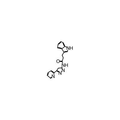 O=C(CCc1c[nH]c2ccccc12)NC1=NN=C(c2ccccn2)C1